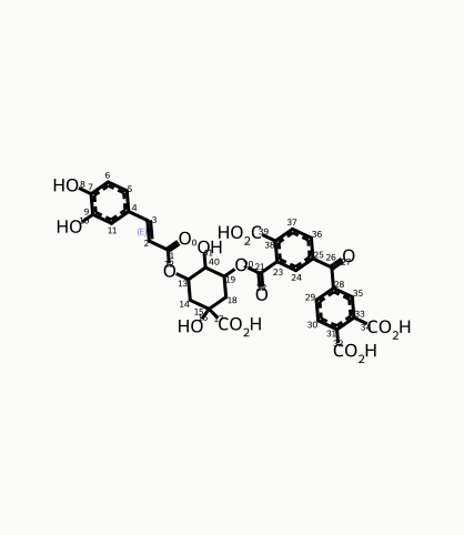 O=C(/C=C/c1ccc(O)c(O)c1)OC1CC(O)(C(=O)O)CC(OC(=O)c2cc(C(=O)c3ccc(C(=O)O)c(C(=O)O)c3)ccc2C(=O)O)C1O